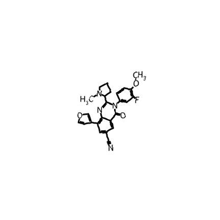 COc1ccc(-n2c(C3CCCN3C)nc3c(-c4ccoc4)cc(C#N)cc3c2=O)cc1F